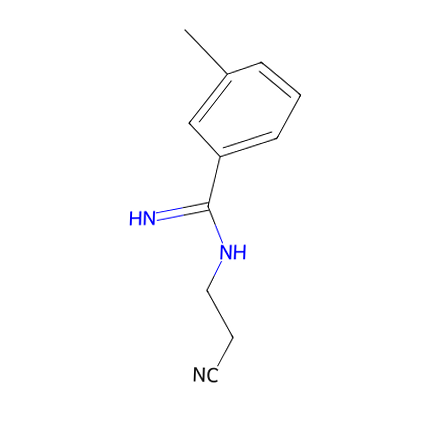 Cc1cccc(C(=N)NCCC#N)c1